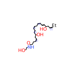 CC/C=C\CC(O)C=C/C=C\C/C=C\C=C\C(O)C/C=C\CCC(=O)NCCO